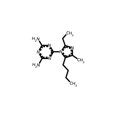 CCCCc1c(C)nc(CC)n1-c1nc(N)nc(N)n1